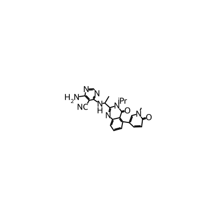 CC(Nc1ncnc(N)c1C#N)c1nc2cccc(-c3ccc(=O)n(C)c3)c2c(=O)n1C(C)C